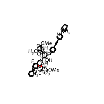 COC(=O)N[C@H](C(=O)N[C@@H](Cc1ccc(C#Cc2ccc(N3CC4CCC(C3)N4C)nc2)cc1)[C@@H](O)CN(Cc1c(F)cc(-c2ccccn2)cc1F)NC(=O)[C@@H](NC(=O)OC)C(C)(C)C(F)(F)F)C(C)(C)C(F)(F)F